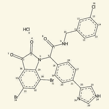 Cl.O=C1C(=O)N(C(C(=O)NCc2cccc(Cl)c2)c2ccc(-c3c[nH]cn3)cc2)c2c(Br)cc(Br)cc21